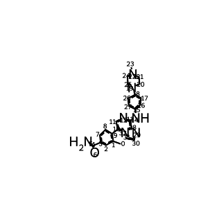 Cc1cc(C(N)=O)ccc1-c1cnc(Nc2ccc(N3CCN(C)CC3)cc2)c2nccn12